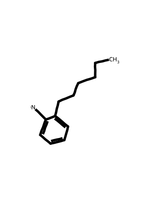 CCCCCCc1ccccc1[N]